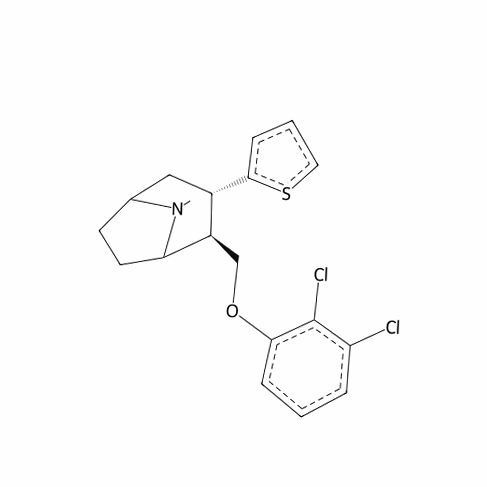 CN1C2CCC1[C@H](COc1cccc(Cl)c1Cl)[C@@H](c1cccs1)C2